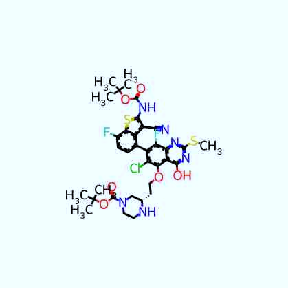 CSc1nc(O)c2c(OCC[C@H]3CN(C(=O)OC(C)(C)C)CCN3)c(Cl)c(-c3ccc(F)c4sc(NC(=O)OC(C)(C)C)c(C#N)c34)c(F)c2n1